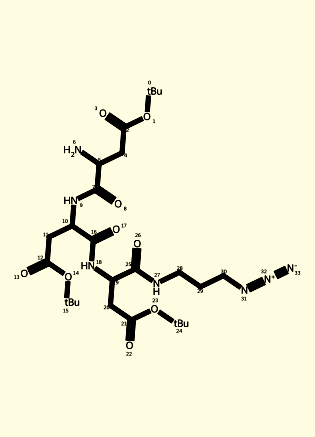 CC(C)(C)OC(=O)CC(N)C(=O)NC(CC(=O)OC(C)(C)C)C(=O)NC(CC(=O)OC(C)(C)C)C(=O)NCCCN=[N+]=[N-]